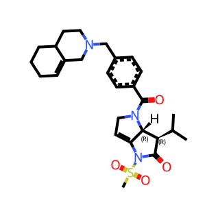 CC(C)[C@H]1C(=O)N(S(C)(=O)=O)C2=CCN(C(=O)c3ccc(CN4CCC5CCCC=C5C4)cc3)[C@@H]21